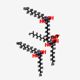 CCCCCCCCCCCC[N+](O)(O)CCCCCCCCCC.CCCCCCCCCCCC[N+](O)(O)CCCCCCCCCC.CCCCCCCCCCCC[N+](O)(O)CCCCCCCCCC.[O-]B([O-])[O-]